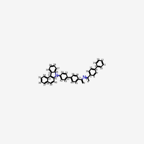 C=C(/N=C(\C)c1ccc(-c2ccccc2)cc1)c1ccc(-c2ccc(-n3c4ccccc4c4c5ccccc5ccc43)cc2)cc1